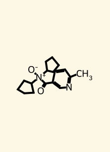 Cc1ccc(C(=O)[N+]([O-])(C2CCCC2)C2CCCC2)cn1